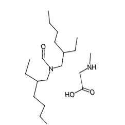 CCCCC(CC)CN(C=O)CC(CC)CCCC.CNCC(=O)O